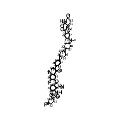 CN(c1ccc2c(c1)CN([C@H]1CCC(=O)NC1=O)C2=O)[C@H]1CC[C@H](N2CCN(c3ccc(-n4cnc5ccc(Oc6c(F)ccc(NS(=O)(=O)N7CC[C@@H](F)C7)c6C#N)cc5c4=O)cc3)CC2)CC1